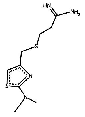 CN(C)c1nc(CSCCC(=N)N)cs1